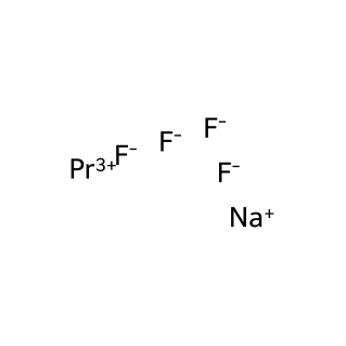 [F-].[F-].[F-].[F-].[Na+].[Pr+3]